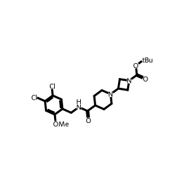 COc1cc(Cl)c(Cl)cc1CNC(=O)C1CCN(C2CN(C(=O)OC(C)(C)C)C2)CC1